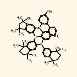 Cc1cc2c3c(c1)N(c1ccc(C(C)(C)C)cc1-c1ccccc1)c1cc4c(cc1B3c1cc3c(cc1N2c1ccc2c(c1)C(C)(C)CCC2(C)C)C(C)(C)CCC3(C)C)C(C)(C)CC4(C)C